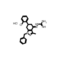 Cc1nn(Cc2ccccc2)c2c1C(=NNC(=N)N)CC(c1ccccc1Cl)C2.Cl